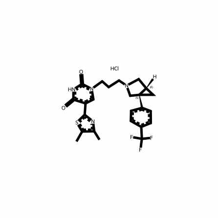 Cc1nc(-c2cn(CCCN3C[C@@H]4C[C@]4(c4ccc(C(F)(F)F)cc4)C3)c(=O)[nH]c2=O)sc1C.Cl